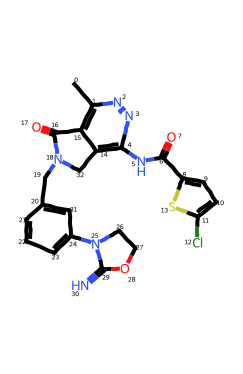 Cc1nnc(NC(=O)c2ccc(Cl)s2)c2c1C(=O)N(Cc1cccc(N3CCOC3=N)c1)C2